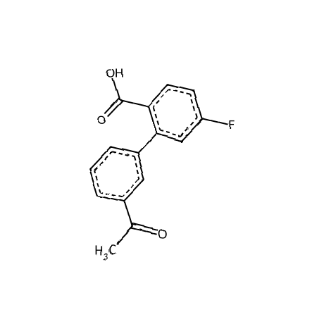 CC(=O)c1cccc(-c2cc(F)ccc2C(=O)O)c1